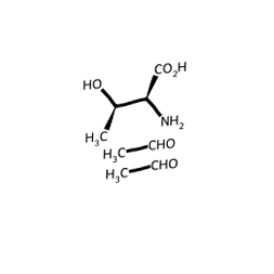 CC=O.CC=O.C[C@@H](O)[C@H](N)C(=O)O